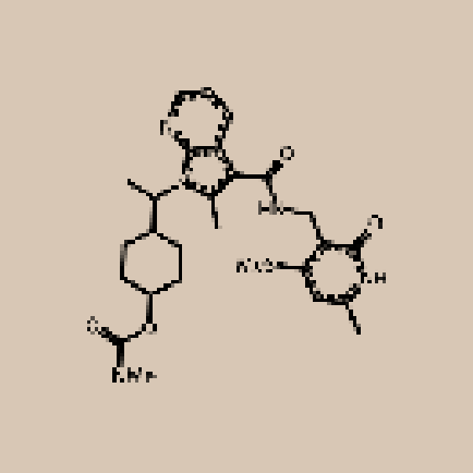 CNC(=O)OC1CCC(C(C)n2c(C)c(C(=O)NCc3c(SC)cc(C)[nH]c3=O)c3cccnc32)CC1